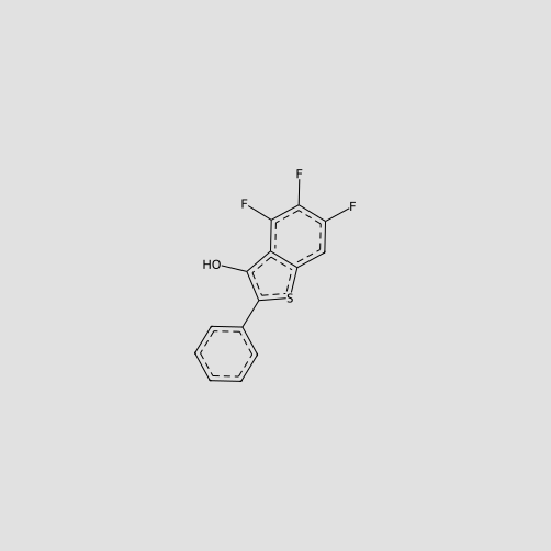 Oc1c(-c2ccccc2)sc2cc(F)c(F)c(F)c12